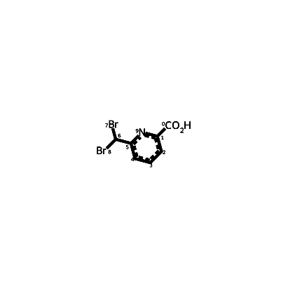 O=C(O)c1cccc(C(Br)Br)n1